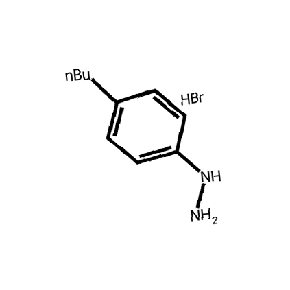 Br.CCCCc1ccc(NN)cc1